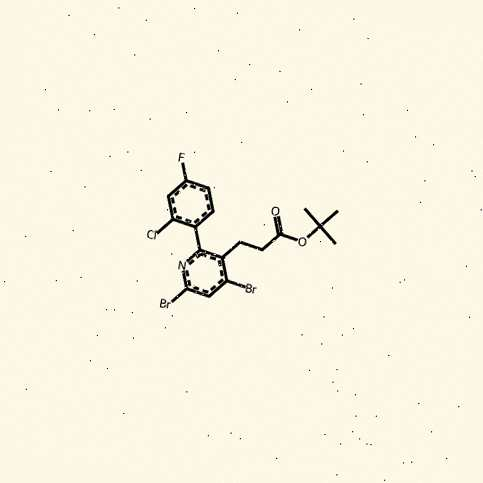 CC(C)(C)OC(=O)CCc1c(Br)cc(Br)nc1-c1ccc(F)cc1Cl